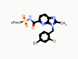 CCCCCS(=O)(=O)NC(=O)c1ccc2nc(C)n(Cc3ccc(CC)cc3Cl)c2n1